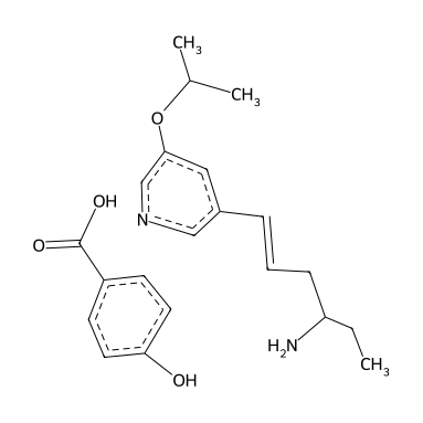 CCC(N)CC=Cc1cncc(OC(C)C)c1.O=C(O)c1ccc(O)cc1